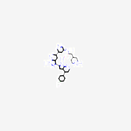 O=C(CC1CCNCC1)Nc1cncc(-c2cnc3[nH]nc(-c4cc5c(-c6ccc(F)cc6)ccnc5[nH]4)c3c2)c1